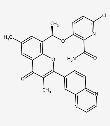 Cc1cc([C@@H](C)Oc2ccc(Cl)nc2C(N)=O)c2oc(-c3ccc4nccnc4c3)c(C)c(=O)c2c1